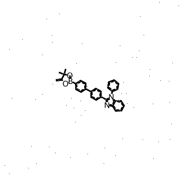 C=C1OB(c2ccc(-c3ccc(-c4nc5ccccc5n4-c4ccccc4)cc3)cc2)OC1(C)C